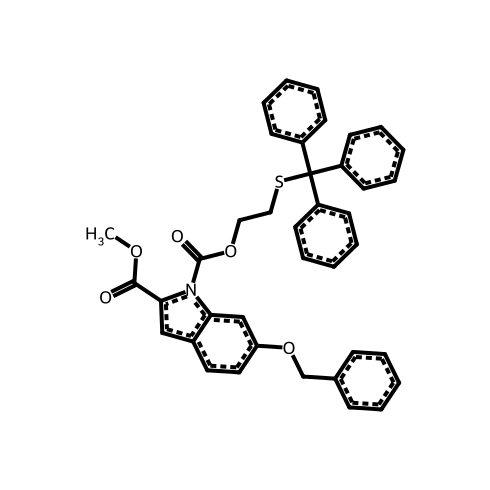 COC(=O)c1cc2ccc(OCc3ccccc3)cc2n1C(=O)OCCSC(c1ccccc1)(c1ccccc1)c1ccccc1